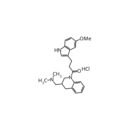 COc1ccc2[nH]cc(CCC(=O)N3CC(CN(C)C)Cc4ccccc43)c2c1.Cl